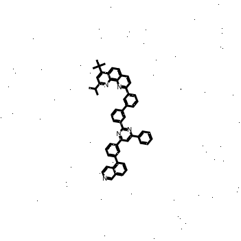 CC(C)c1cc(C(C)(C)C)c2ccc3ccc(-c4cccc(-c5cccc(-c6nc(-c7ccccc7)cc(-c7cccc(-c8cccc9cnccc89)c7)n6)c5)c4)nc3c2n1